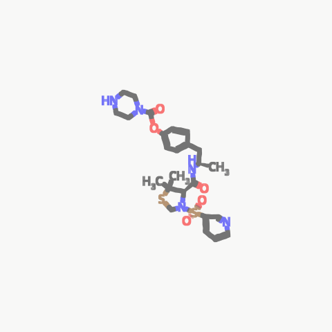 C[C@H](Cc1ccc(OC(=O)N2CCNCC2)cc1)NC(=O)[C@H]1N(S(=O)(=O)c2cccnc2)CSC1(C)C